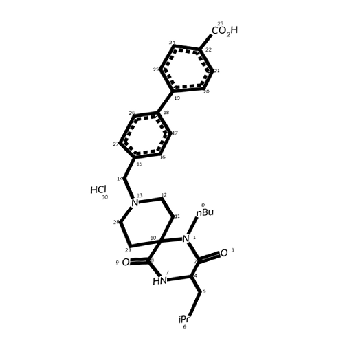 CCCCN1C(=O)C(CC(C)C)NC(=O)C12CCN(Cc1ccc(-c3ccc(C(=O)O)cc3)cc1)CC2.Cl